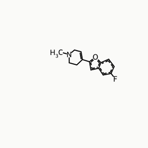 CN1CC=C(c2cc3cc(F)ccc3o2)CC1